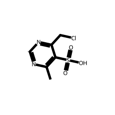 Cc1n[c]nc(CCl)c1S(=O)(=O)O